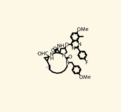 COc1ccc(CN2CCCCC/C=C/C3CC3([C]=O)NC(=O)C3(C(N)=O)CC(Oc4nc(-c5ccc(F)cc5)nc5c(C)c(OC)ccc45)CN3C2=O)cc1